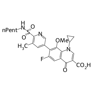 CCCCCNS(=O)(=O)c1ncc(-c2c(F)cc3c(=O)c(C(=O)O)cn(C4CC4)c3c2OC)cc1C